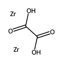 O=C(O)C(=O)O.[Zr].[Zr]